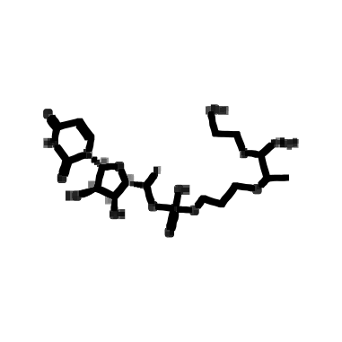 CCCCCCCCCCCCSC(CCCCCCC)C(C)OCCCOP(=O)(O)OC(F)[C@H]1O[C@@H](n2ccc(=O)[nH]c2=O)[C@H](O)[C@@H]1O